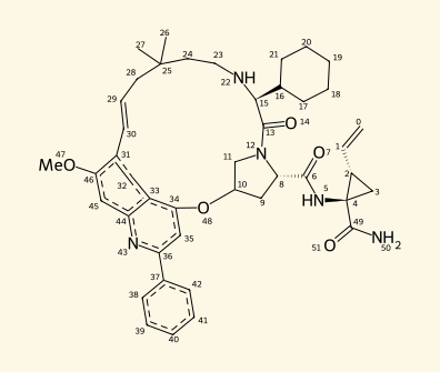 C=C[C@@H]1C[C@]1(NC(=O)[C@@H]1CC2CN1C(=O)[C@H](C1CCCCC1)NCCC(C)(C)C/C=C/c1cc3c(cc(-c4ccccc4)nc3cc1OC)O2)C(N)=O